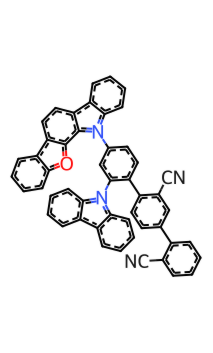 N#Cc1ccccc1-c1ccc(-c2ccc(-n3c4ccccc4c4ccc5c6ccccc6oc5c43)cc2-n2c3ccccc3c3ccccc32)c(C#N)c1